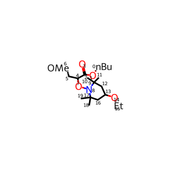 CCCCOC(=O)C(COC)ON1C(C)(C)CC(OCC)CC1(C)C